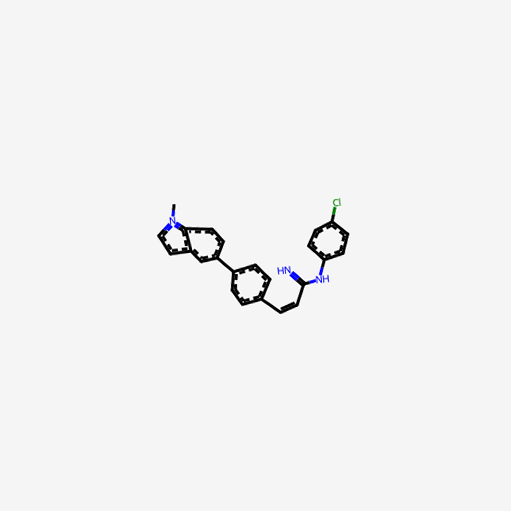 Cn1ccc2cc(-c3ccc(/C=C\C(=N)Nc4ccc(Cl)cc4)cc3)ccc21